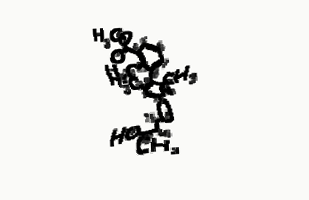 COC(=O)c1cccc(-c2c(C)cc(OCC[C@H](C)O)nc2C)c1C